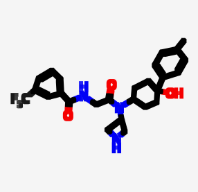 Cc1ccc(C2(O)CCC(N(C(=O)CNC(=O)c3cccc(C(F)(F)F)c3)C3CNC3)CC2)cc1